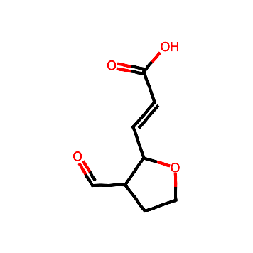 O=CC1CCOC1C=CC(=O)O